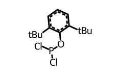 CC(C)(C)c1cccc(C(C)(C)C)c1OP(Cl)Cl